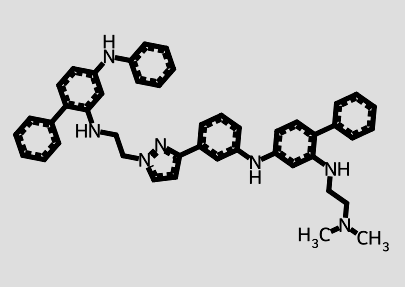 CN(C)CCNc1cc(Nc2cccc(-c3ccn(CCNc4cc(Nc5ccccc5)ccc4-c4ccccc4)n3)c2)ccc1-c1ccccc1